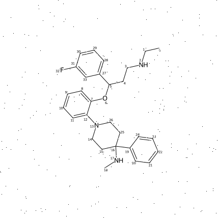 CCNCCC(Oc1ccccc1N1CCC(NC)(c2ccccc2)CC1)c1cccc(F)c1